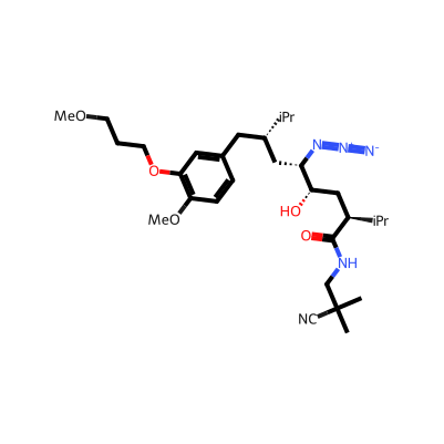 COCCCOc1cc(C[C@@H](C[C@H](N=[N+]=[N-])[C@@H](O)C[C@H](C(=O)NCC(C)(C)C#N)C(C)C)C(C)C)ccc1OC